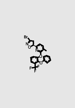 Cc1ccc([C@@H]2CC(Br)=NO2)nc1Oc1cccc(C(F)(F)F)c1Oc1ccccc1